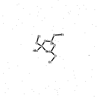 CCCC[Si]1(OCC)O[SiH](OCC)O[SiH](OCC)O1